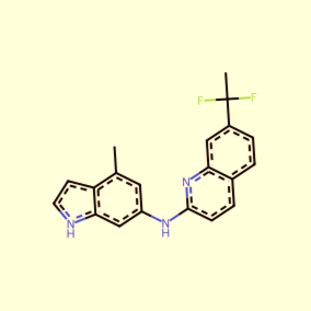 Cc1cc(Nc2ccc3ccc(C(C)(F)F)cc3n2)cc2[nH]ccc12